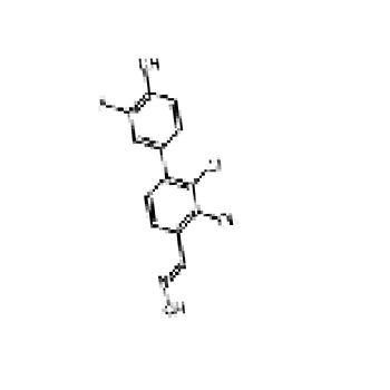 O/N=C/c1ccc(-c2ccc(O)c(F)c2)c(Cl)c1O